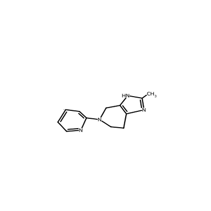 Cc1nc2c([nH]1)CN(c1c[c]ccn1)CC2